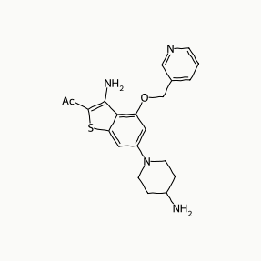 CC(=O)c1sc2cc(N3CCC(N)CC3)cc(OCc3cccnc3)c2c1N